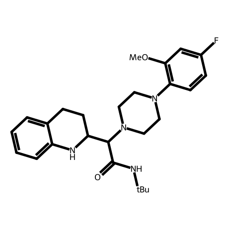 COc1cc(F)ccc1N1CCN(C(C(=O)NC(C)(C)C)C2CCc3ccccc3N2)CC1